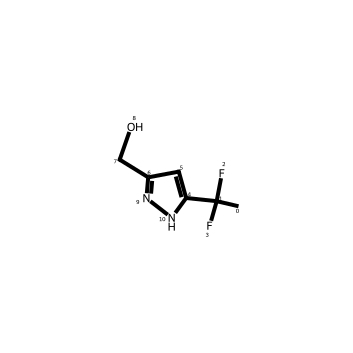 CC(F)(F)c1cc(CO)n[nH]1